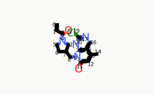 C=CC(=O)N1CCC(Cn2c(=O)cc(C)c3cnc(Cl)nc32)C1